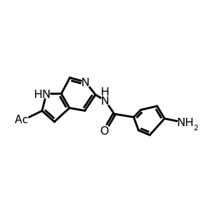 CC(=O)c1cc2cc(NC(=O)c3ccc(N)cc3)ncc2[nH]1